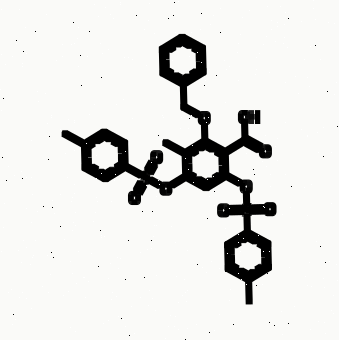 Cc1ccc(S(=O)(=O)Oc2cc(OS(=O)(=O)c3ccc(C)cc3)c(C(=O)O)c(OCc3ccccc3)c2C)cc1